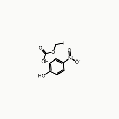 O=C(O)OCI.O=[N+]([O-])c1ccc(O)cc1